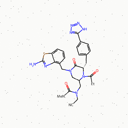 CCC(=O)N1C(CN(CC#N)C(=O)NC)CN(Cc2cccc3sc(N)nc23)C(=O)[C@@H]1Cc1ccc(-c2nnn[nH]2)cc1